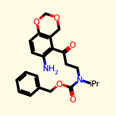 CC(C)N(CCC(=O)c1c(N)ccc2c1COCO2)C(=O)OCc1ccccc1